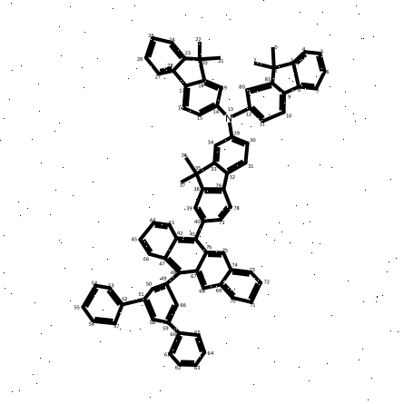 CC1(C)c2ccccc2-c2ccc(N(c3ccc4c(c3)C(C)(C)c3ccccc3-4)c3ccc4c(c3)C(C)(C)c3cc(-c5c6ccccc6c(-c6cc(-c7ccccc7)cc(-c7ccccc7)c6)c6cc7ccccc7cc56)ccc3-4)cc21